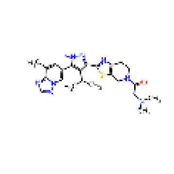 Cc1cc(-c2[nH]nc(-c3nc4c(s3)CN(C(=O)CN(C)C)CC4)c2C(C)C)cn2ncnc12